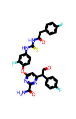 NC(=O)c1nc(Oc2ccc(NC(=S)NC(=O)Cc3ccc(F)cc3)cc2F)cc(C([C]=O)c2ccc(F)cc2)n1